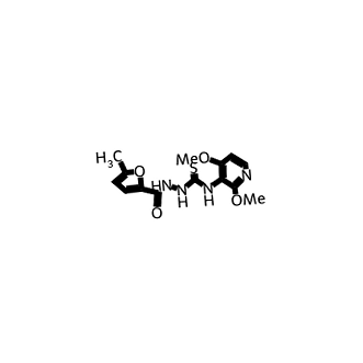 COc1ccnc(OC)c1NC(=S)NNC(=O)c1ccc(C)o1